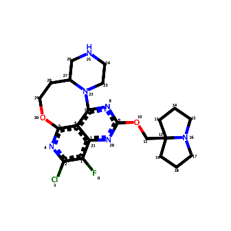 Fc1c(Cl)nc2c3c(nc(OCC45CCCN4CCC5)nc13)N1CCNCC1CCO2